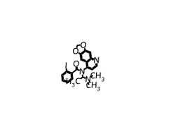 CC(N(C)C)N(C(=O)c1ccccc1I)c1ccnc2cc3c(cc12)OCO3